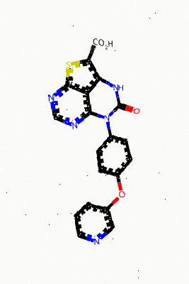 O=C(O)c1sc2ncnc3c2c1NC(=O)N3c1ccc(Oc2cccnc2)cc1